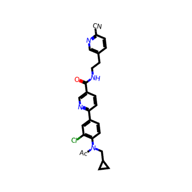 CC(=O)N(CC1CC1)c1ccc(-c2ccc(C(=O)NCCc3ccc(C#N)nc3)cn2)cc1Cl